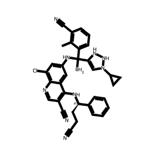 BC(Nc1cc(Cl)c2ncc(C#N)c(N[C@H](CCC#N)c3ccccc3)c2c1)(C1=CN(C2CC2)NN1)c1cccc(C#N)c1C